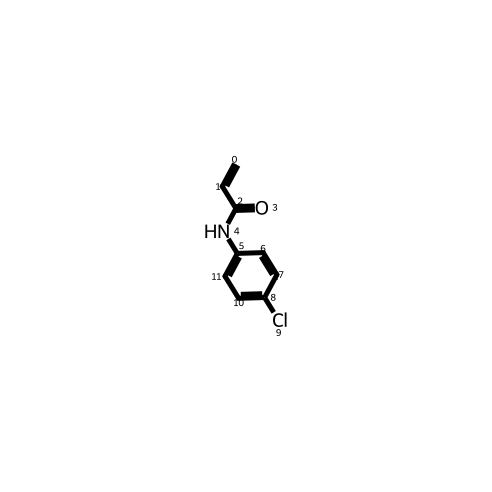 C=CC(=O)Nc1c[c]c(Cl)cc1